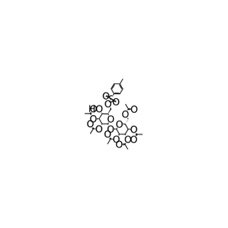 CC(=O)OC[C@H]1O[C@H](O[C@H]2O[C@H](COS(=O)(=O)c3ccc(C)cc3)[C@@H](O)[C@H](OC(C)=O)[C@H]2OC(C)=O)[C@H](OC(C)=O)[C@@H](OC(C)=O)[C@@H]1OC(C)=O